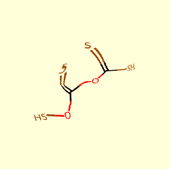 S=C(S)OC(=S)OS